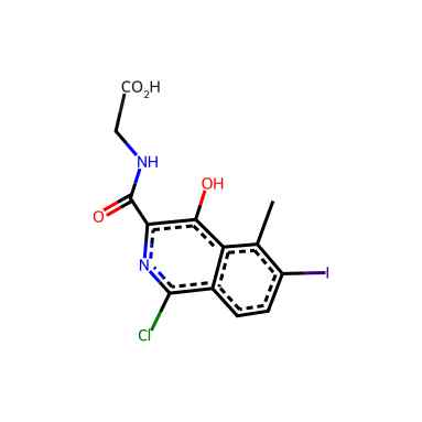 Cc1c(I)ccc2c(Cl)nc(C(=O)NCC(=O)O)c(O)c12